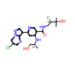 C[C@@H](CO)Nc1cc(-c2cnn3cc(Cl)cnc23)ncc1C(=O)NC[C@@H](F)C(C)(C)O